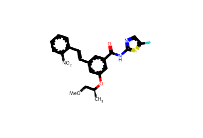 COC[C@H](C)Oc1cc(C=Cc2ccccc2[N+](=O)[O-])cc(C(=O)Nc2ncc(F)s2)c1